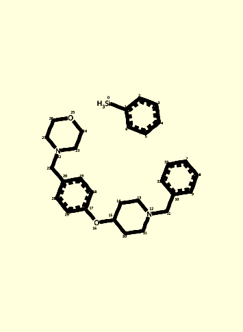 [SiH3]c1ccccc1.c1ccc(CN2CCC(Oc3ccc(CN4CCOCC4)cc3)CC2)cc1